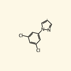 Clc1cc(Cl)cc(-n2c[c]cn2)c1